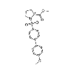 COC(=O)[C@@H]1CCCN1S(=O)(=O)c1ccc(-c2ccc(OC)cc2)cc1